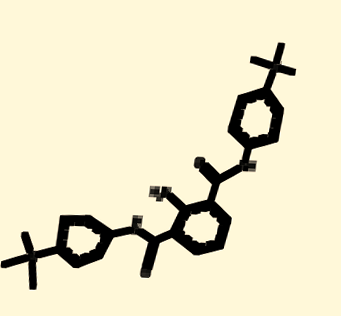 C[Si](C)(C)c1ccc(NC(=O)c2cccc(C(=O)Nc3ccc([Si](C)(C)C)cc3)c2N)cc1